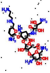 NCCCNC[C@@H]1C=C[C@@H](N)[C@@H](O[C@H]2[C@H](O[C@@H]3O[C@H](CO)[C@@H](O[C@H]4O[C@@H](CN)[C@@H](O)[C@H](O)[C@H]4N)[C@H]3O)[C@@H](O)[C@H](NC(=O)[C@@H](O)[C@@H](O)CN)C[C@@H]2N)O1